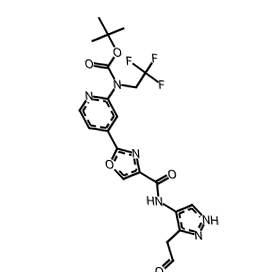 CC(C)(C)OC(=O)N(CC(F)(F)F)c1cc(-c2nc(C(=O)Nc3c[nH]nc3CC=O)co2)ccn1